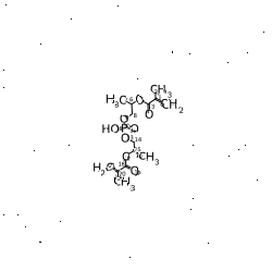 C=C(C)C(=O)OC(C)COP(=O)(O)OCC(C)OC(=O)C(=C)C